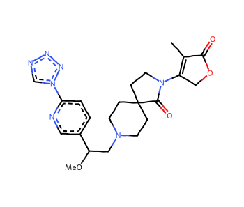 COC(CN1CCC2(CC1)CCN(C1=C(C)C(=O)OC1)C2=O)c1ccc(-n2cnnn2)nc1